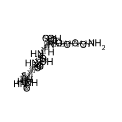 NCCOCCOCCOCCOCC(=O)N[C@@H](CCCCNC(=O)C[C@@H](NC(=O)CCCC[C@@H]1SC[C@@H]2NC(=O)N[C@@H]21)C(=O)O)C(=O)O